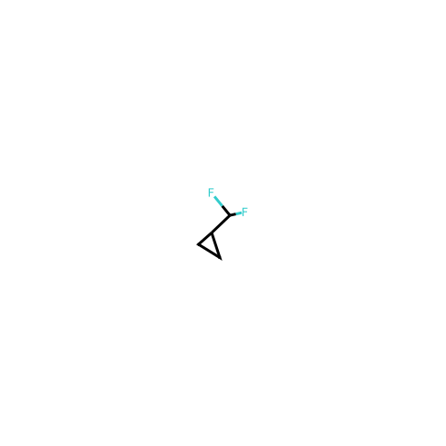 FC(F)C1CC1